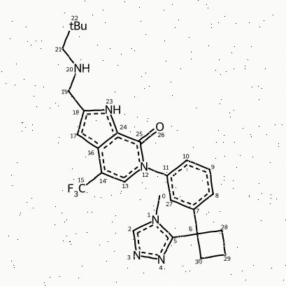 Cn1cnnc1C1(c2cccc(-n3cc(C(F)(F)F)c4cc(CNCC(C)(C)C)[nH]c4c3=O)c2)CCC1